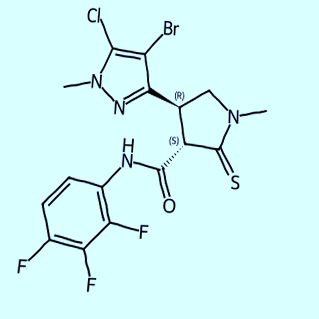 CN1C[C@H](c2nn(C)c(Cl)c2Br)[C@@H](C(=O)Nc2ccc(F)c(F)c2F)C1=S